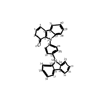 O=C1CC=Cc2c1n(-c1ccc(-n3c4ccccc4c4ccccc43)cc1)c1ccccc21